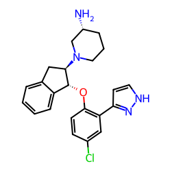 N[C@@H]1CCCN([C@@H]2Cc3ccccc3[C@H]2Oc2ccc(Cl)cc2-c2cc[nH]n2)C1